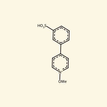 CO[n+]1ccc(-c2cccc(S(=O)(=O)O)c2)cc1